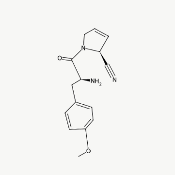 COc1ccc(C[C@H](N)C(=O)N2CC=C[C@H]2C#N)cc1